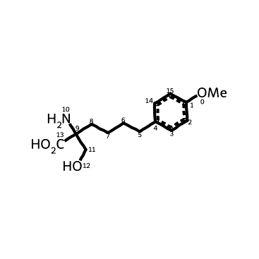 COc1ccc(CCCCC(N)(CO)C(=O)O)cc1